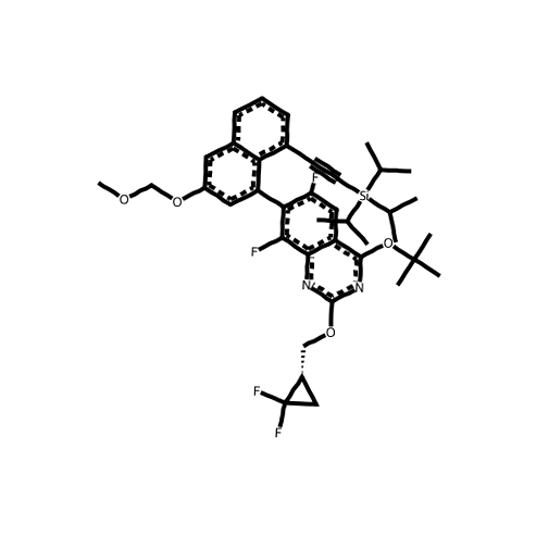 COCOc1cc(-c2c(F)cc3c(OC(C)(C)C)nc(OC[C@@H]4CC4(F)F)nc3c2F)c2c(C#C[Si](C(C)C)(C(C)C)C(C)C)cccc2c1